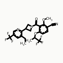 CCc1cc(C(F)(F)F)cnc1C1CN(C(=O)c2c(OC(C)C(F)(F)F)ccc(C#N)c2OC)C1